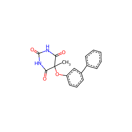 CC1(Oc2cccc(-c3ccccc3)c2)C(=O)NC(=O)NC1=O